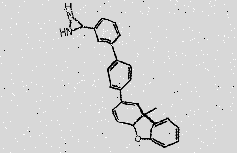 CC12C=C(c3ccc(-c4cccc(C5NN5)c4)cc3)C=CC1Oc1ccccc12